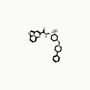 Cl.Cl.O=C(NC[C@H]1CC[C@H](CN2CCC(c3ccccc3)CC2)CC1)C1=Cc2cnc3cccc(n23)S1